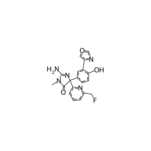 CN1C(=O)C(c2ccc(O)c(-c3cocn3)c2)(c2cccc(CF)n2)N=C1N